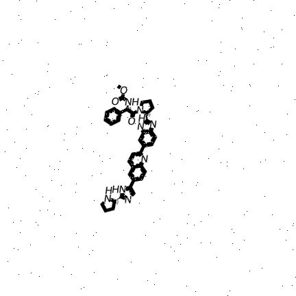 COC(=O)N[C@@H](C(=O)N1CCC[C@H]1c1nc2ccc(-c3ccc4cc(-c5cnc([C@@H]6CCCN6)[nH]5)ccc4n3)cc2[nH]1)c1ccccc1